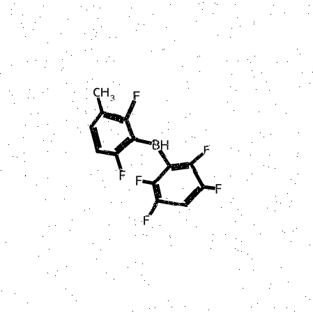 Cc1ccc(F)c(Bc2c(F)c(F)cc(F)c2F)c1F